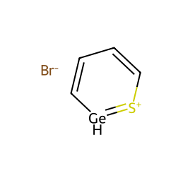 C1=C[S+]=[GeH][CH]=C1.[Br-]